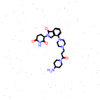 NC1CCN(C(=O)CCN2CCN(c3cccc4c3CN(C3CCC(=O)NC3=O)C4=O)CC2)CC1